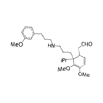 COC1=C(OC)C(CCCNCCCc2cccc(OC)c2)(C(C)C)C(CC=O)C=C1